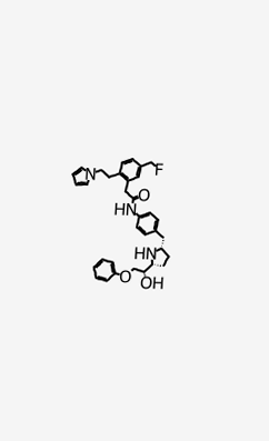 O=C(Cc1cc(CF)ccc1CCn1cccc1)Nc1ccc(C[C@@H]2CC[C@H]([C@H](O)COc3ccccc3)N2)cc1